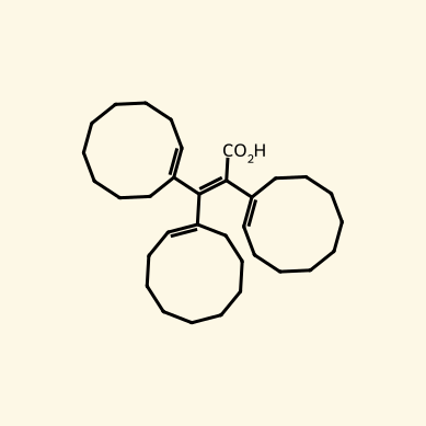 O=C(O)C(C1=CCCCCCCCC1)=C(C1=CCCCCCCCC1)C1=CCCCCCCCC1